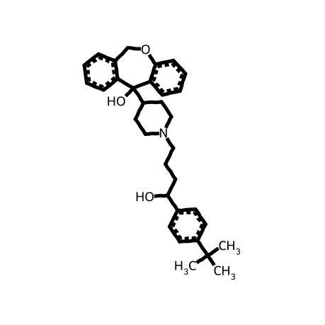 CC(C)(C)c1ccc(C(O)CCCN2CCC(C3(O)c4ccccc4COc4ccccc43)CC2)cc1